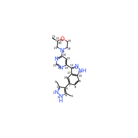 Cc1n[nH]c(C)c1-c1ccc2[nH]nc(-c3cc(N4CCO[C@H](C)C4)ncn3)c2c1